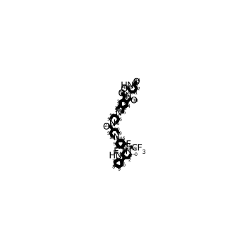 C[C@@H]1Cc2c([nH]c3ccccc23)[C@@H](c2c(F)cc(N3CCC(C(=O)N4CCC(N5Cc6cc7c(cc6C5)C(=O)N(C5CCC(=O)NC5=O)C7=O)CC4)CC3)cc2F)N1CC(F)(F)F